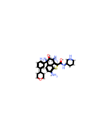 Nc1ccc2c3c(c(C(=O)NC4CCCNC4)sc13)C(N)C(=O)C2(N)c1cccc(C2CCOCC2)c1